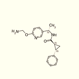 C[C@H](NC(=O)[C@H]1C[C@@H]1c1ccccc1)c1ccc(OCN)nc1